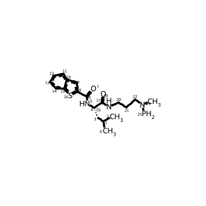 CC(C)C[C@H](NC(=O)c1cc2ccccc2s1)C(=O)NCCCN(C)P